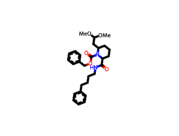 COC(CC1CCCC(C(=O)NCCCCc2ccccc2)N1C(=O)OCc1ccccc1)OC